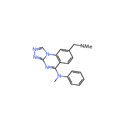 CNCc1ccc2c(N(C)c3ccccc3)nc3nncn3c2c1